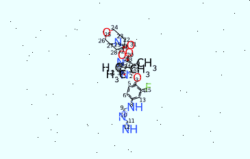 Cc1c(Oc2ccc(N/C=N\C=N)cc2F)ncnc1OC1CC2COCC(C1)N2C(=O)OCC(C)(C)C